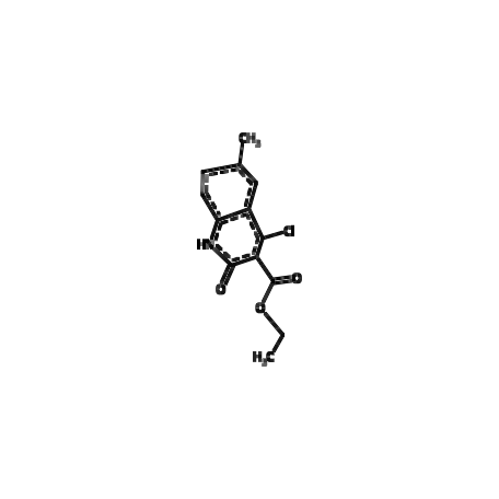 CCOC(=O)c1c(Cl)c2cc(C)ccc2[nH]c1=O